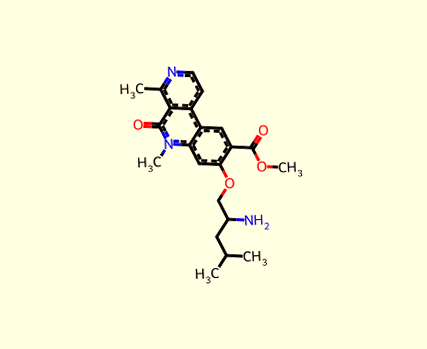 COC(=O)c1cc2c3ccnc(C)c3c(=O)n(C)c2cc1OCC(N)CC(C)C